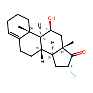 C[C@]12CCCC=C1CC[C@@H]1[C@@H]2[C@@H](O)C[C@]2(C)C(=O)[C@H](F)C[C@@H]12